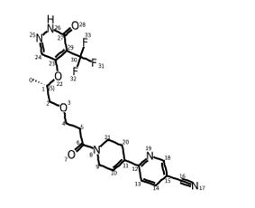 C[C@@H](COCCC(=O)N1CC=C(c2ccc(C#N)cn2)CC1)Oc1cn[nH]c(=O)c1C(F)(F)F